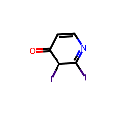 O=C1C=CN=C(I)C1I